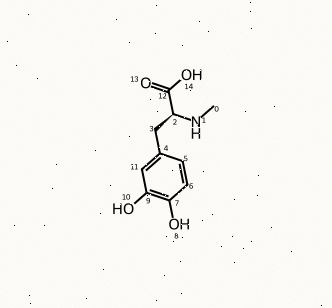 CN[C@@H](Cc1ccc(O)c(O)c1)C(=O)O